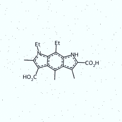 CCc1c2[nH]c(C(=O)O)c(C)c2c(C)c2c(C(=O)O)c(C)n(CC)c12